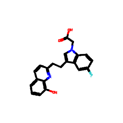 O=C(O)Cn1cc(CCc2ccc3cccc(O)c3n2)c2cc(F)ccc21